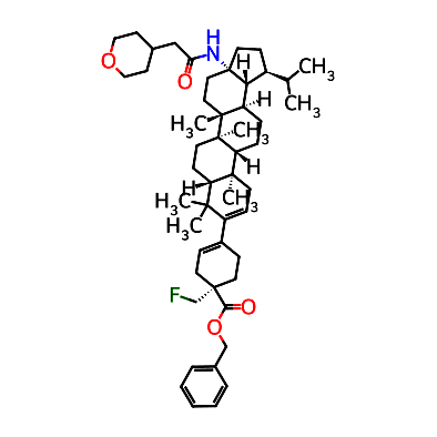 CC(C)[C@@H]1CC[C@]2(NC(=O)CC3CCOCC3)CC[C@]3(C)[C@H](CC[C@@H]4[C@@]5(C)CC=C(C6=CC[C@](CF)(C(=O)OCc7ccccc7)CC6)C(C)(C)[C@@H]5CC[C@]43C)[C@@H]12